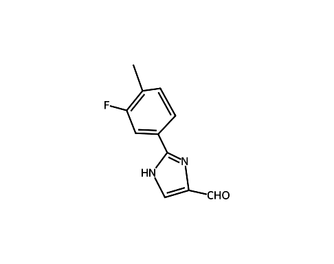 Cc1ccc(-c2nc(C=O)c[nH]2)cc1F